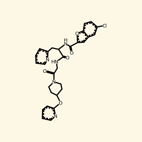 O=C(NC(Cc1ccccn1)C(=O)NCC(=O)N1CCC(Oc2ccccn2)CC1)c1cc2cc(Cl)ccc2o1